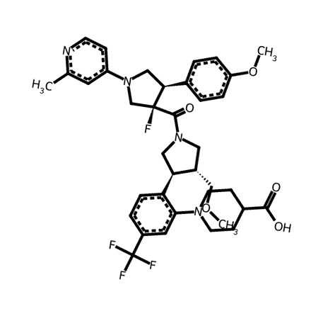 COC[C@H]1CN(C(=O)[C@]2(F)CN(c3ccnc(C)c3)C[C@H]2c2ccc(OC)cc2)C[C@@H]1c1ccc(C(F)(F)F)cc1N1CCC(C(=O)O)CC1